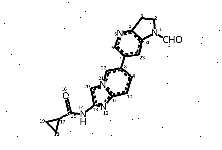 O=CN1CCc2ncc(-c3ccc4nc(NC(=O)C5CC5)cn4c3)cc21